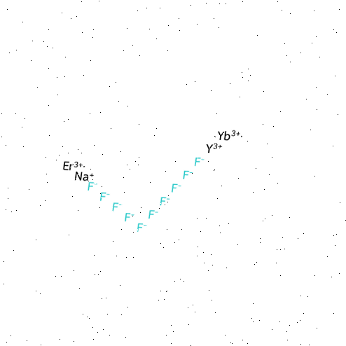 [Er+3].[F-].[F-].[F-].[F-].[F-].[F-].[F-].[F-].[F-].[F-].[Na+].[Y+3].[Yb+3]